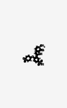 CCS(=O)(=O)c1ccc(OC2CCS(=O)(=O)CC2)c(-c2cc3ccn(C)c(=O)c3[nH]2)c1